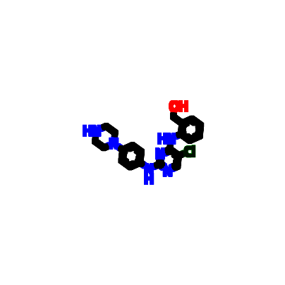 OCc1ccccc1Nc1nc(Nc2ccc(N3CCNCC3)cc2)ncc1Cl